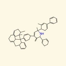 C=C1C(C2C=CC(C3(C4(C)CC=CCC4C)C4CCCC=C4CC4C=CC=CC43)=CC2)=CC(C)(C2CC=C(c3ccccc3)C=C2C)NC1C1=CCCC=C1